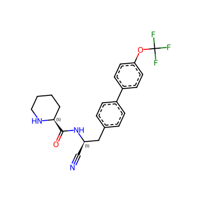 N#C[C@H](Cc1ccc(-c2ccc(OC(F)(F)F)cc2)cc1)NC(=O)[C@@H]1CCCCN1